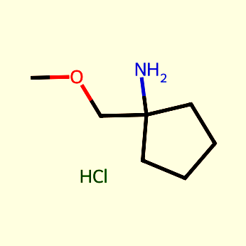 COCC1(N)CCCC1.Cl